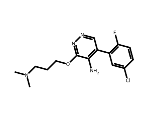 CN(C)CCCOc1nncc(-c2cc(Cl)ccc2F)c1N